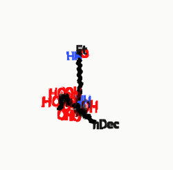 CCCCCCCCCCCCCC[C@@H](O)[C@@H](O)[C@H](CO[C@H]1OC(CO)[C@H](O)[C@H](O)C1O)NC(=O)CCCCCCCCCCCNC(=O)CC